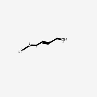 CCSCC=CCO